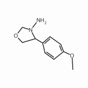 COc1ccc(C2COCN2N)cc1